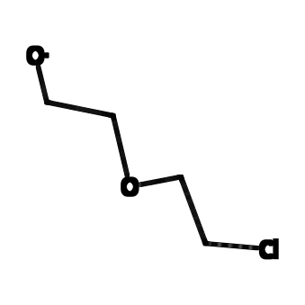 [O]CCOCCCl